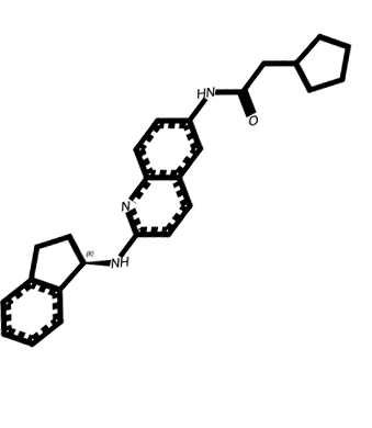 O=C(CC1CCCC1)Nc1ccc2nc(N[C@@H]3CCc4ccccc43)ccc2c1